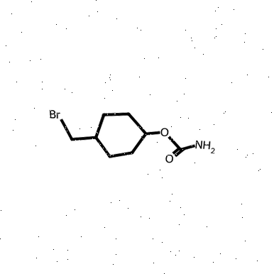 NC(=O)OC1CCC(CBr)CC1